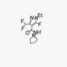 CCn1nc(C(F)F)c(C(=O)NN2CCCC2)c1F